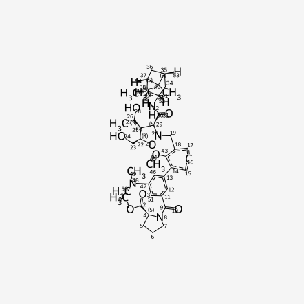 COC(=O)[C@@H]1CCCN1C(=O)c1cc(-c2cccc(CN3O[C@@H](CO)[C@@H]([C@H](C)O)[C@H]3C(=O)N[C@H]3C[C@H]4C[C@@H]([C@@H]3C)C4(C)C)c2OC)cc(N(C)C)c1